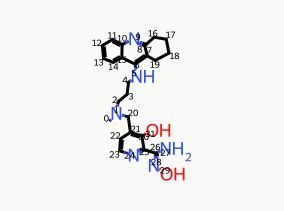 CN(CCCNc1c2c(nc3ccccc13)CCCC2)Cc1ccnc(/C(N)=N/O)c1O